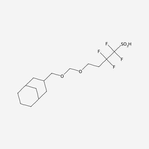 O=S(=O)(O)C(F)(F)C(F)(F)CCOCOCC1CC2CCCC(C2)C1